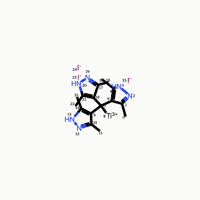 Cc1n[nH]c(C)c1[C]([Ti+3])(c1c(C)n[nH]c1C)c1c(C)n[nH]c1C.[I-].[I-].[I-]